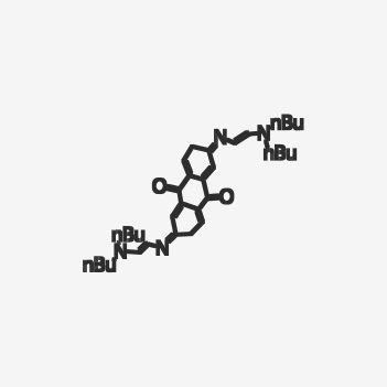 CCCCN(C=CN=C1C=C2C(=O)C3=CCC(=NC=CN(CCCC)CCCC)C=C3C(=O)C2=CC1)CCCC